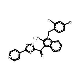 Cc1c(C(=O)c2nc(-c3ccncc3)no2)c2ccccc2n1Cc1ccc(Cl)cc1Cl